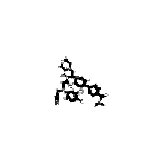 CN(C)C(=O)c1ccc(-c2ccc(C(CN3CCOCC3)N(C)C(=O)CN(CC#N)c3ccc(Cl)c(Cl)c3)cc2)cc1